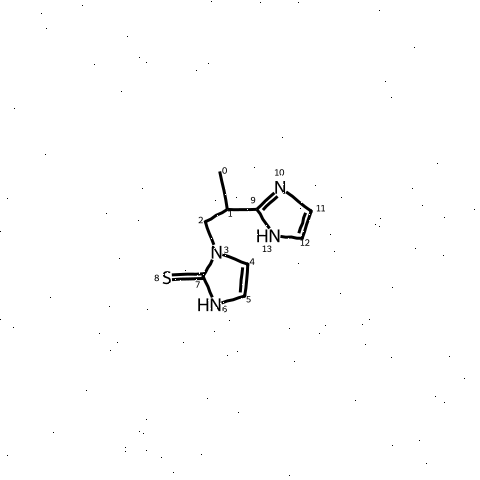 CC(Cn1cc[nH]c1=S)c1ncc[nH]1